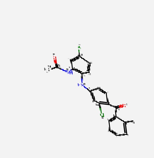 Cc1ccccc1C(=O)c1ccc(Nc2ccc(Br)cc2NC(=O)C(F)(F)F)cc1Cl